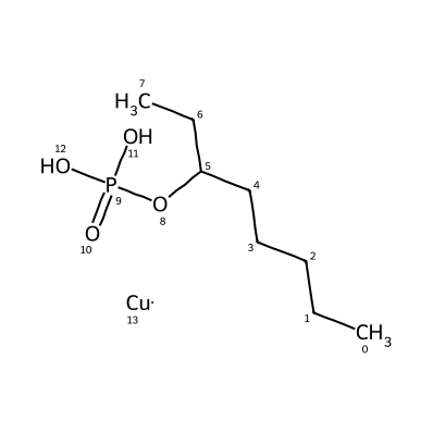 CCCCCC(CC)OP(=O)(O)O.[Cu]